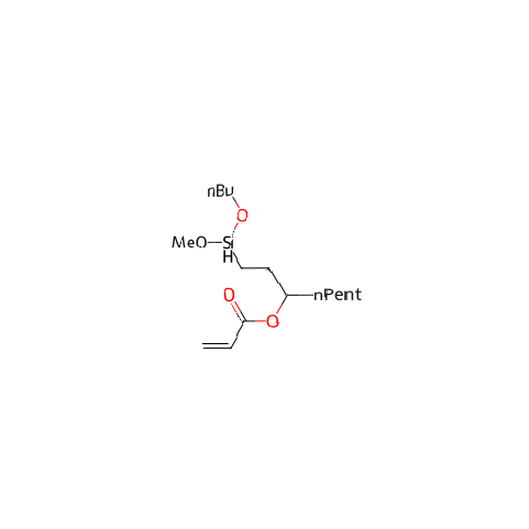 C=CC(=O)OC(CCCCC)CC[SiH](OC)OCCCC